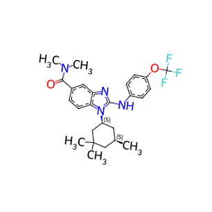 C[C@@H]1C[C@H](n2c(Nc3ccc(OC(F)(F)F)cc3)nc3cc(C(=O)N(C)C)ccc32)CC(C)(C)C1